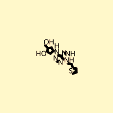 N=Nc1c(NCCc2cccs2)ncnc1NC1CC(O)C(CO)C1